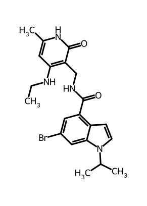 CCNc1cc(C)[nH]c(=O)c1CNC(=O)c1cc(Br)cc2c1ccn2C(C)C